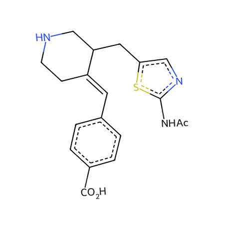 CC(=O)Nc1ncc(CC2CNCCC2=Cc2ccc(C(=O)O)cc2)s1